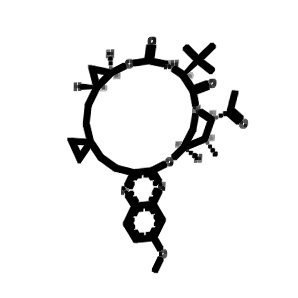 COc1ccc2nc3c(nc2c1)O[C@H]1CN(C(=O)[C@H](C(C)(C)C)NC(=O)O[C@@H]2C[C@H]2CCC2(CC3)CC2)[C@H](C(C)=O)[C@@H]1C